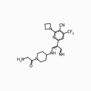 N#Cc1c(C(F)(F)F)cc(/C(C=N)=C/NC2CCN(C(=O)CN)CC2)nc1N1CCC1